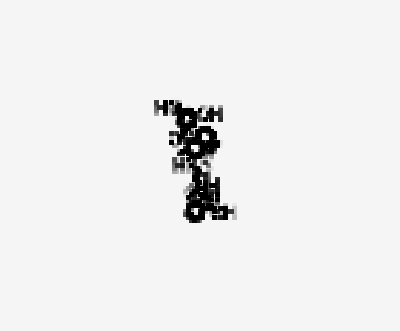 C[C@@H]1[C@H](NC(=O)CNS(=O)(=O)c2ccccc2C(=O)O)C[C@H]2C(C)(C)CCC[C@]2(C)[C@H]1C(=O)c1cc(O)cc(O)c1